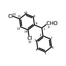 O=CC(c1ccccc1)c1ccc(Cl)cc1Cl